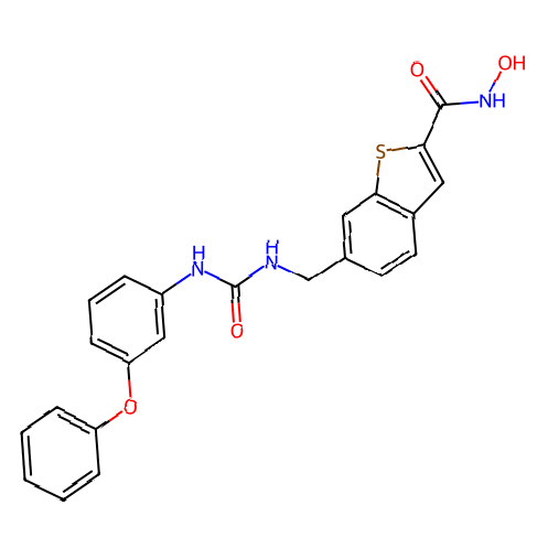 O=C(NCc1ccc2cc(C(=O)NO)sc2c1)Nc1cccc(Oc2ccccc2)c1